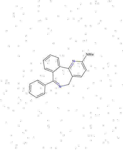 CNc1ccc2c(n1)-c1ccccc1C(c1ccccc1)=NC2